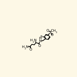 CS(=O)(=O)c1ccc(CNC(=O)C(N)CCC(N)=O)c(F)c1